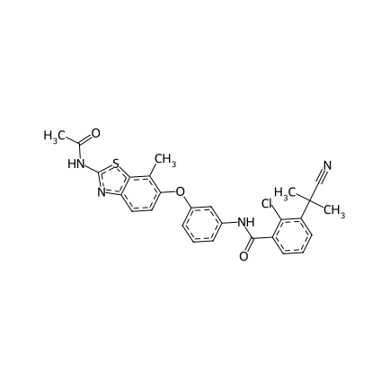 CC(=O)Nc1nc2ccc(Oc3cccc(NC(=O)c4cccc(C(C)(C)C#N)c4Cl)c3)c(C)c2s1